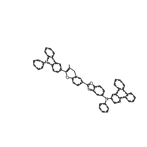 CC1=C(c2ccc3c(c2)c2ccccc2n3-c2ccccc2)Oc2ccc(-c3nc4cc(N(c5ccccc5)c5ccc6c7ccccc7c7ccccc7c6c5)ccc4o3)cc2C1